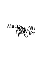 COc1ccc(NC(=O)N(c2ccccc2C(C)C)C2CCNCC2)c(OC(F)F)n1